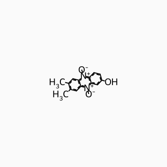 Cc1cc2c(cc1C)[n+]([O-])c1cc(O)ccc1[n+]2[O-]